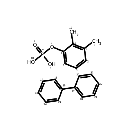 Cc1cccc(OP(=O)(O)O)c1C.c1ccc(-c2ccccc2)cc1